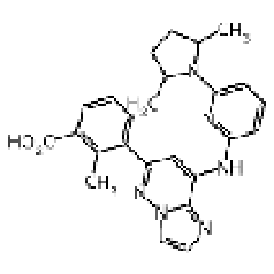 Cc1c(C(=O)O)cccc1-c1cc(Nc2cccc(N3C(C)CCC3C)n2)c2nccn2n1